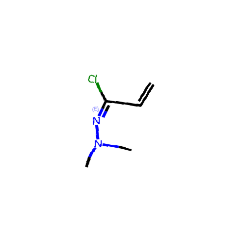 C=C/C(Cl)=N\N(C)C